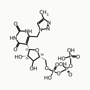 Cc1cn(Cc2[nH]c(=O)[nH]c(=O)c2[C@@H]2O[C@H](COP(=O)(O)OP(=O)(O)OP(=O)(O)O)C(O)[C@@H]2O)nn1